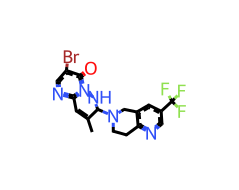 CC1=Cc2ncc(Br)c(=O)n2NC1N1CCc2ncc(C(F)(F)F)cc2C1